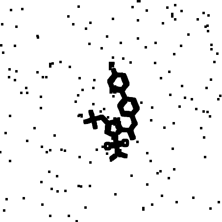 C=C(Cc1ccc(-c2ccc(F)cn2)cc1)c1nc(CC(C)(C)C)cn1S(=O)(=O)N(C)C